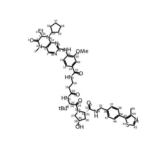 CC[C@@H]1C(=O)N(C)c2cnc(Nc3ccc(C(=O)NCCC(=O)N[C@H](C(=O)N4C[C@H](O)C[C@H]4C(=O)NCc4ccc(-c5scnc5C)cc4)C(C)(C)C)cc3OC)nc2N1C1CCCC1